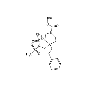 CC(C)(C)OC(=O)N1CCC(CCc2ccccc2)(CN(S(C)(=O)=O)S(C)(=O)=O)CC1